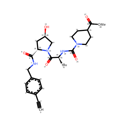 C#Cc1ccc(CNC(=O)[C@@H]2C[C@@H](O)CN2C(=O)[C@@H](NC(=O)N2CCC(C(=O)OC)CC2)C(C)(C)C)cc1